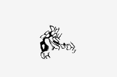 CCOC(=O)NC(C(=O)c1ccc(O)cc1)C(O)C(=O)O